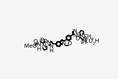 COC(=O)N[C@H](C(=O)N1CCC[C@H]1c1ncc(-c2ccc3c(c2)cc2n3CCOc3cc(-c4cnc([C@@H]5CCCN5C(=O)[C@H](C(C)C)N(C)C(=O)O)[nH]4)ccc3-2)[nH]1)C(C)C